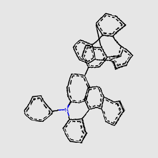 c1ccc(N(c2ccc(-c3ccc4c(c3)-c3c5cccc3-c3cccc-4c3-c3ccccc3-5)cc2)c2ccccc2-c2cccc3ccccc23)cc1